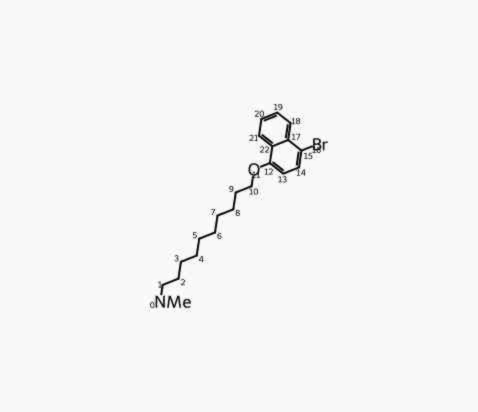 CNCCCCCCCCCCOc1ccc(Br)c2ccccc12